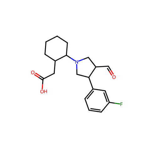 O=CC1CN(C2CCCCC2CC(=O)O)CC1c1cccc(F)c1